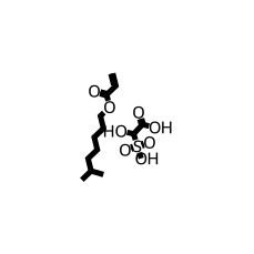 C=CC(=O)OCCCCCC(C)C.O=C(O)C(O)S(=O)(=O)O